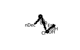 CCCCCCCCCCCCCCCOc1ccccc1CCOC(=O)C(=O)CCC=CC[C@@H]1[C@@H](C=CC[C@H](O)C2(CC)CCC2)[C@H](O)C[C@H]1Cl